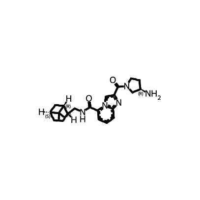 CC1(C)[C@H]2CC[C@@H](CNC(=O)c3cccc4nc(C(=O)N5CC[C@@H](N)C5)cn34)[C@H]1C2